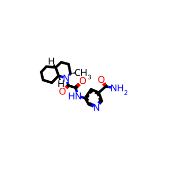 C[C@H]1CC[C@H]2CCCC[C@H]2N1C(=O)C(=O)Nc1cncc(C(N)=O)c1